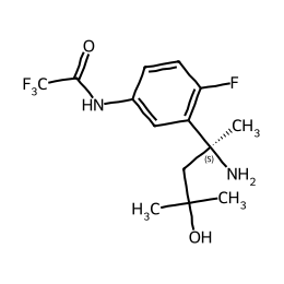 CC(C)(O)C[C@](C)(N)c1cc(NC(=O)C(F)(F)F)ccc1F